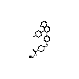 CN1CCN(c2c(-c3ccc(OC4CCN(C(=O)OC(C)(C)C)CC4)cc3)ccc3cccnc23)CC1